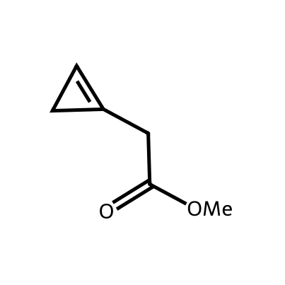 COC(=O)CC1=CC1